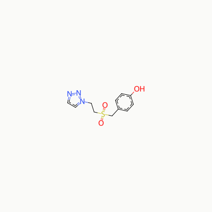 O=S(=O)(CCn1ccnn1)Cc1ccc(O)cc1